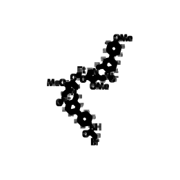 CCC(Oc1cn2c(c1OC)C=[N+]([O-])C1=CC=C(c3ccc(NC(=O)CBr)cc3)CC1C2)Oc1cn2c(c1OC)C=[N+]([O-])C1=CC=C(c3ccc(OC)cc3)CC1C2